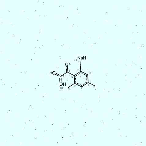 Cc1cc(C)c(C(=O)[PH](=O)O)c(C)c1.[NaH]